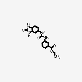 CCOC(=O)c1cccc(NC(=O)Nc2ccc3[nH]c(=O)[nH]c3c2)c1